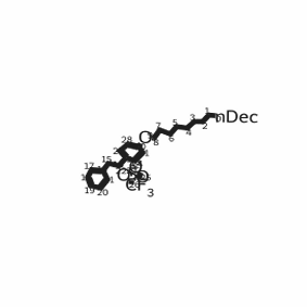 CCCCCCCCCCCCCCCCCCOc1ccc(C(Cc2ccccc2)OS(=O)(=O)C(F)(F)F)cc1